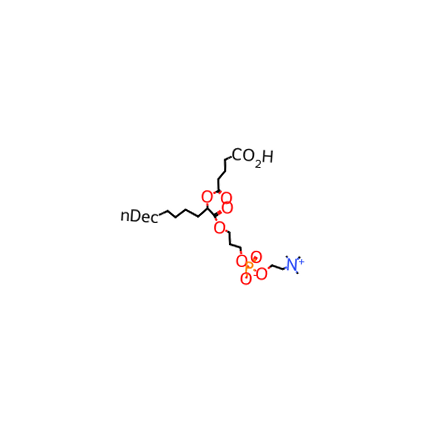 CCCCCCCCCCCCCCC(OC(=O)CCCC(=O)O)C(=O)OCCCOP(=O)([O-])OCC[N+](C)(C)C